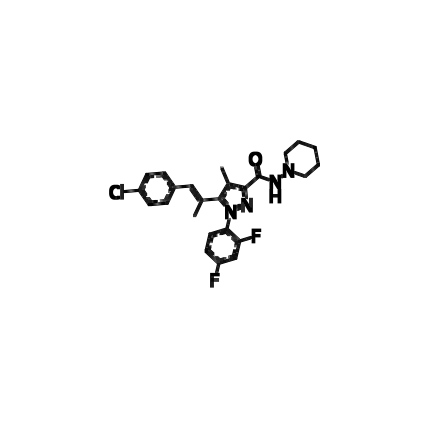 C/C(=C\c1ccc(Cl)cc1)c1c(C)c(C(=O)NN2CCCCC2)nn1-c1ccc(F)cc1F